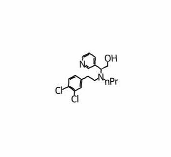 CCCN(CCc1ccc(Cl)c(Cl)c1)[C@H](CO)c1cccnc1